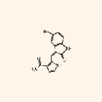 CC(=O)c1cc[nH]c1/C=C1\C(=O)Nc2ccc(Br)cc21